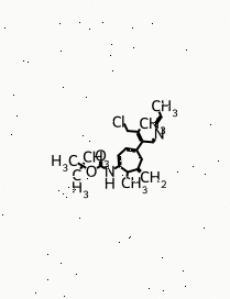 C=C1CC(C(/C=N\C=C\C)=C(/C)CCl)=CC=C(NC(=O)OC(C)(C)C)C1C